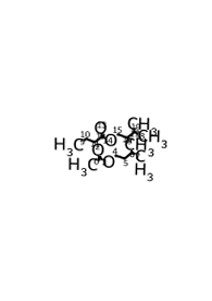 CC(=O)OCCC(C)C.CCCC(=O)OCCC(C)C